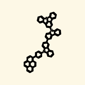 c1cc2ccc3ccc(-c4ccc(-n5c6ccccc6c6cc(-c7ccc8c(c7)c7ccccc7n8-c7cc8c9ccccc9n9c%10ccccc%10c(c7)c89)ccc65)cc4)c4ccc(c1)c2c34